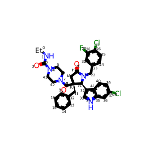 CCNC(=O)N1CCN(C(=O)[C@]2(Cc3ccccc3)CC(=O)N(Cc3ccc(Cl)c(F)c3)[C@H]2c2c[nH]c3cc(Cl)ccc23)CC1